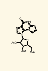 CC(=O)OCC1OC(n2cnc3c(=O)[nH]c4nccn4c32)C(OC(C)=O)C1OC(C)=O